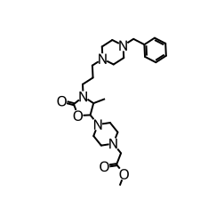 COC(=O)CN1CCN(C2OC(=O)N(CCCN3CCN(Cc4ccccc4)CC3)C2C)CC1